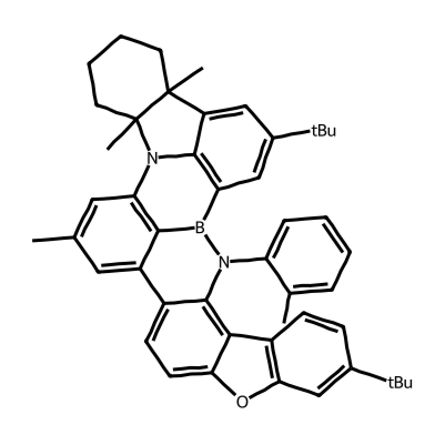 Cc1cc2c3c(c1)N1c4c(cc(C(C)(C)C)cc4C4(C)CCCCC14C)B3N(c1ccccc1C)c1c-2ccc2oc3cc(C(C)(C)C)ccc3c12